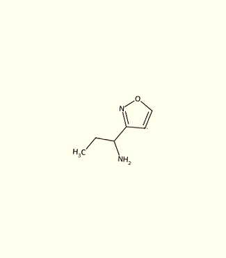 CCC(N)c1[c]con1